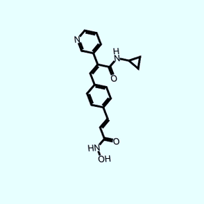 O=C(/C=C/c1ccc(C=C(C(=O)NC2CC2)c2cccnc2)cc1)NO